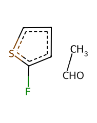 CC=O.Fc1cccs1